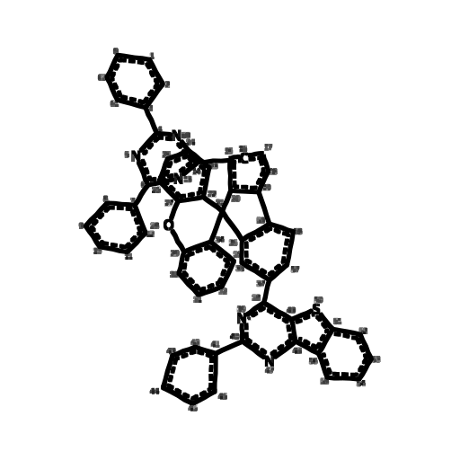 c1ccc(-c2nc(-c3ccccc3)nc(-c3cccc4c3C3(c5ccccc5Oc5ccccc53)c3cc(-c5nc(-c6ccccc6)nc6c5sc5ccccc56)ccc3-4)n2)cc1